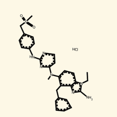 CCn1c(N)nc2c(Cc3ccccc3)c(N(C)c3ccnc(Nc4ccc(CS(C)(=O)=O)cc4)n3)ccc21.Cl